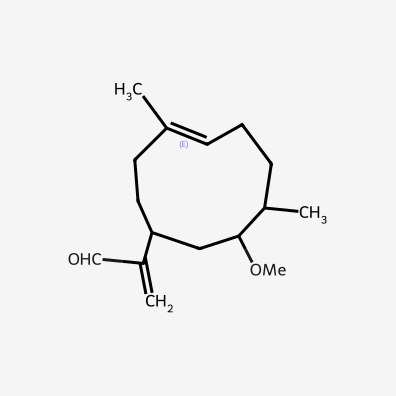 C=C(C=O)C1CC/C(C)=C/CCC(C)C(OC)C1